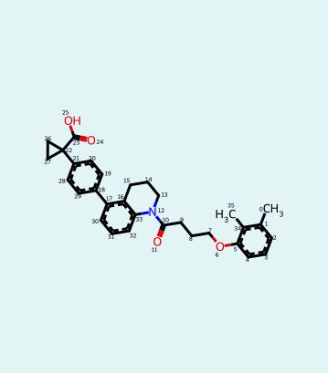 Cc1cccc(OCCCC(=O)N2CCCc3c(-c4ccc(C5(C(=O)O)CC5)cc4)cccc32)c1C